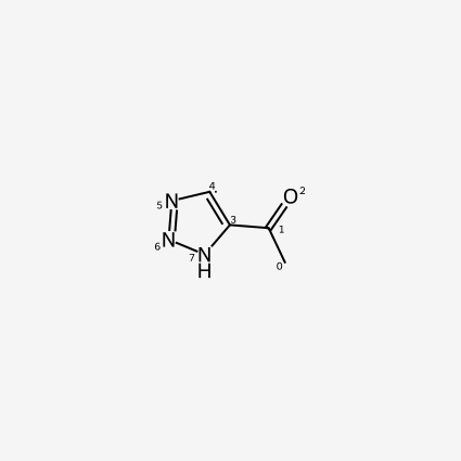 CC(=O)c1[c]nn[nH]1